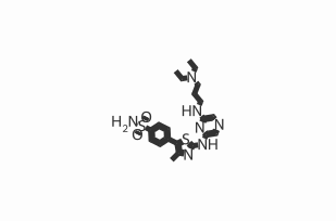 CCN(CC)CCCNc1cncc(Nc2nc(C)c(-c3ccc(S(N)(=O)=O)cc3)s2)n1